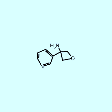 NC1(c2cccnc2)COC1